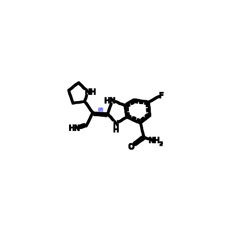 N=C/C(=C1/Nc2cc(F)cc(C(N)=O)c2N1)C1CCCN1